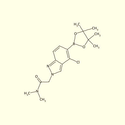 CN(C)C(=O)Cn1cc2c(Cl)c(B3OC(C)(C)C(C)(C)O3)ccc2n1